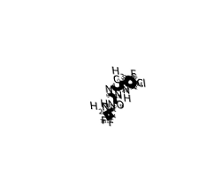 Cc1c(-c2cncc(C(=O)NCC3(N)CC(F)(F)C3)n2)[nH]c2cc(Cl)c(F)cc12